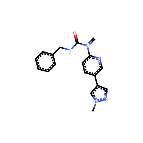 C=[N+](C(=O)NCc1ccccc1)c1ccc(-c2cnn(C)c2)cn1